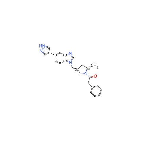 C[C@H]1C[C@H](Cn2cnc3cc(-c4cn[nH]c4)ccc32)CN1C(=O)Cc1ccccc1